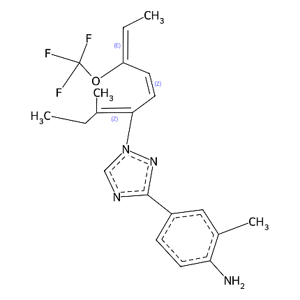 C\C=C(/C=C\C(=C(/C)CC)n1cnc(-c2ccc(N)c(C)c2)n1)OC(F)(F)F